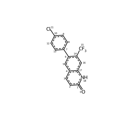 O=c1ccc2cc(-c3ccc(Cl)cc3)c(C(F)(F)F)cc2[nH]1